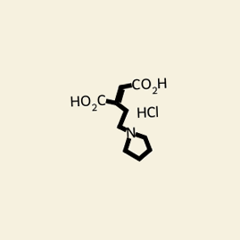 Cl.O=C(O)/C=C(\CCN1CCCC1)C(=O)O